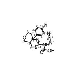 [N-]=[N+]=Nc1cc([C@]23CCOCC2CSC(NC(=O)O)=N3)ccc1F